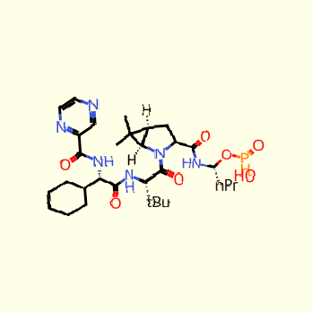 CCC[C@H](NC(=O)C1C[C@H]2[C@@H](N1C(=O)[C@@H](NC(=O)[C@@H](NC(=O)c1cnccn1)C1CCCCC1)C(C)(C)C)C2(C)C)O[PH](=O)O